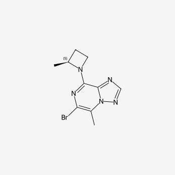 Cc1c(Br)nc(N2CC[C@@H]2C)c2ncnn12